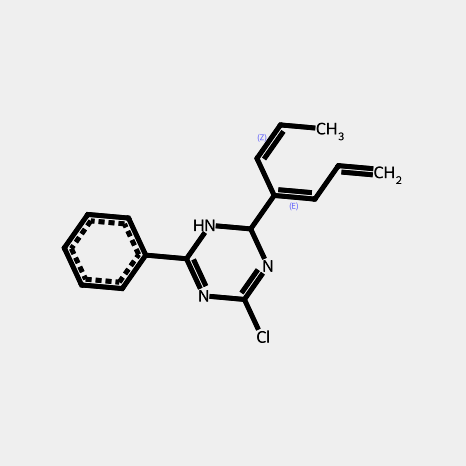 C=C/C=C(\C=C/C)C1N=C(Cl)N=C(c2ccccc2)N1